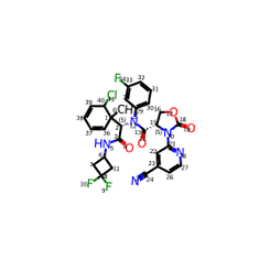 CC1([C@@H](C(=O)NC2CC(F)(F)C2)N(C(=O)[C@@H]2COC(=O)N2c2cc(C#N)ccn2)c2cccc(F)c2)C=CC=CC1Cl